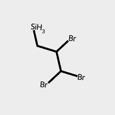 [SiH3]CC(Br)C(Br)Br